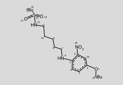 CCCCOc1ccc(NCCCCCNS(=O)(=O)C(C)(C)C)c([N+](=O)[O-])c1